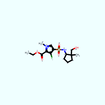 CCOC(=O)c1c(F)c(S(=O)(=O)NC2CCCC2(C)CO)cn1C